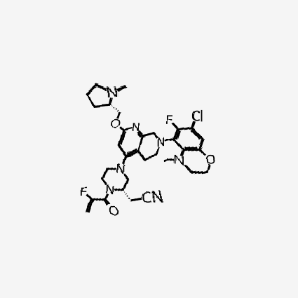 C=C(F)C(=O)N1CCN(c2cc(OC[C@@H]3CCCN3C)nc3c2CCN(c2c(F)c(Cl)cc4c2N(C)CCO4)C3)C[C@@H]1CC#N